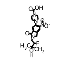 CC(C)(O)C(F)CN1Cc2cc([N+](=O)[O-])c(N3CCN(C(=O)O)CC3)cc2C1=O